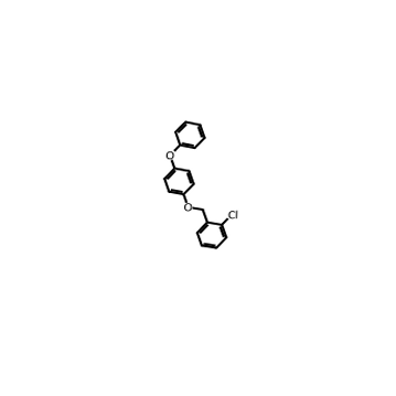 Clc1ccccc1COc1ccc(Oc2ccccc2)cc1